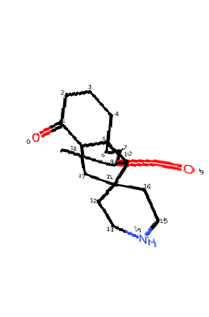 O=C1CCCC23CCC(=O)C2C2(CCNCC2)CC13